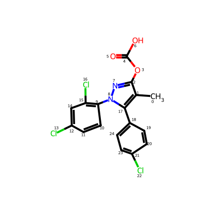 Cc1c(OC(=O)O)nn(-c2ccc(Cl)cc2Cl)c1-c1ccc(Cl)cc1